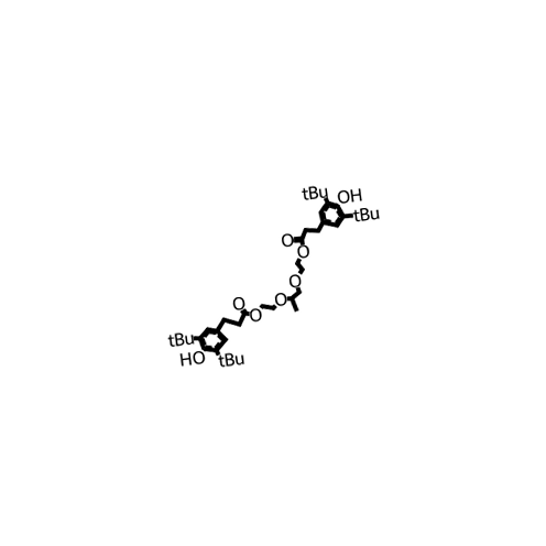 CC(COCCOC(=O)CCc1cc(C(C)(C)C)c(O)c(C(C)(C)C)c1)OCCOC(=O)CCc1cc(C(C)(C)C)c(O)c(C(C)(C)C)c1